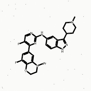 CC(C)N1CCOc2c(F)cc(-c3nc(Nc4ccc5[nH]nc(C6CCN(C)CC6)c5c4)ncc3F)cc21